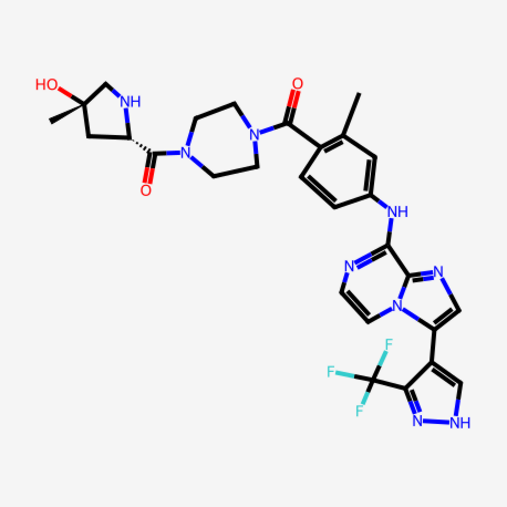 Cc1cc(Nc2nccn3c(-c4c[nH]nc4C(F)(F)F)cnc23)ccc1C(=O)N1CCN(C(=O)[C@@H]2C[C@](C)(O)CN2)CC1